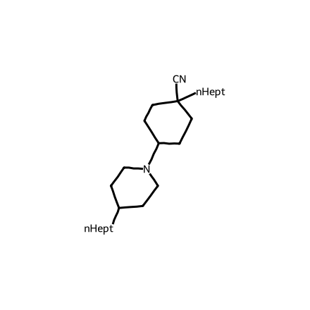 CCCCCCCC1CCN(C2CCC(C#N)(CCCCCCC)CC2)CC1